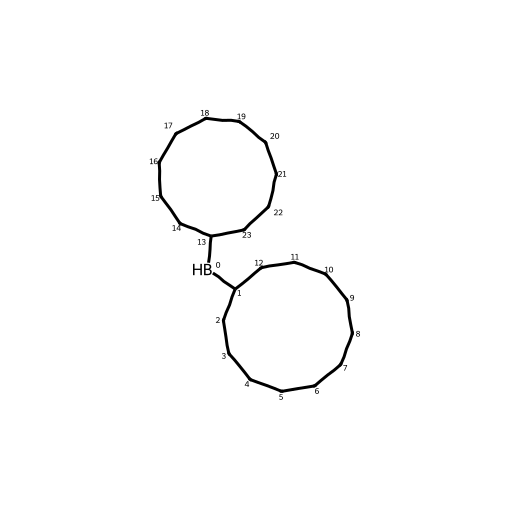 B(C1CCCCCCCCCCC1)C1CCCCCCCCCC1